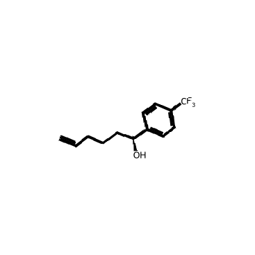 C=CCCC[C@H](O)c1ccc(C(F)(F)F)cc1